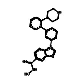 N=C(NO)c1ccc2c(c1)ncn2-c1cccc(-c2ccccc2N2CCNCC2)c1